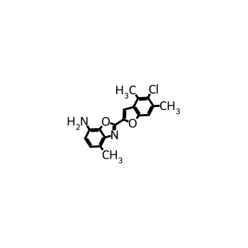 Cc1cc2oc(-c3nc4c(C)ccc(N)c4o3)cc2c(C)c1Cl